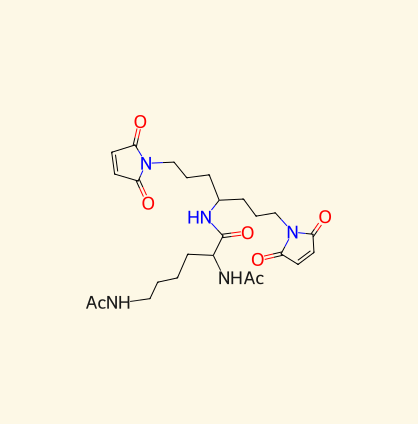 CC(=O)NCCCCC(NC(C)=O)C(=O)NC(CCCN1C(=O)C=CC1=O)CCCN1C(=O)C=CC1=O